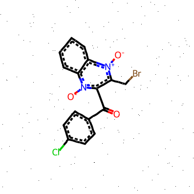 O=C(c1ccc(Cl)cc1)c1c(CBr)[n+]([O-])c2ccccc2[n+]1[O-]